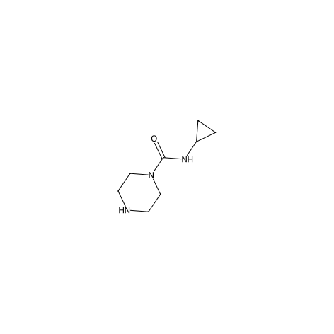 O=C(NC1CC1)N1CCNCC1